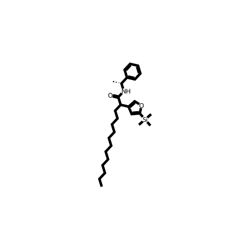 CCCCCCCCCCCCC(C(=O)N[C@H](C)c1ccccc1)c1coc([Si](C)(C)C)c1